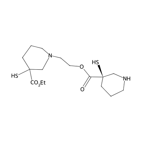 CCOC(=O)C1(S)CCCN(CCOC(=O)[C@@]2(S)CCCNC2)C1